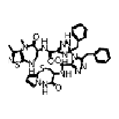 Cc1nsc2c1N(C)C(=O)C(NC(=O)C1=NNC(Cc3ccccc3)(n3c(Cc4ccccc4)nnc3C(=O)NC3CSc4cccn4NC3=O)N1)CN2